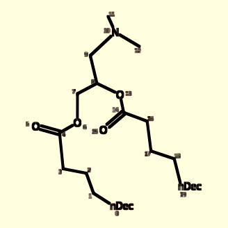 CCCCCCCCCCCCCC(=O)OCC(CN(C)C)OC(=O)CCCCCCCCCCCCC